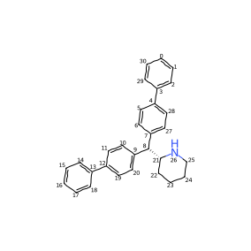 c1ccc(-c2ccc(C(c3ccc(-c4ccccc4)cc3)[C@H]3CCCCN3)cc2)cc1